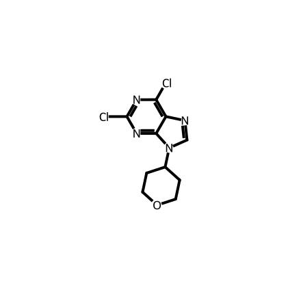 Clc1nc(Cl)c2ncn(C3CCOCC3)c2n1